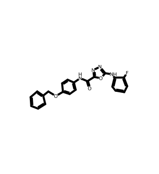 O=C(Nc1ccc(OCc2ccccc2)cc1)c1nnc(Nc2ccccc2F)o1